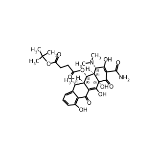 C[C@H]1c2cccc(O)c2C(=O)C2=C(O)[C@]3(O)C(=O)C(C(N)=O)=C(O)[C@@H](N(C)C)[C@@H]3[C@@H](OC(=O)CCC(=O)OC(C)(C)C)[C@@H]21